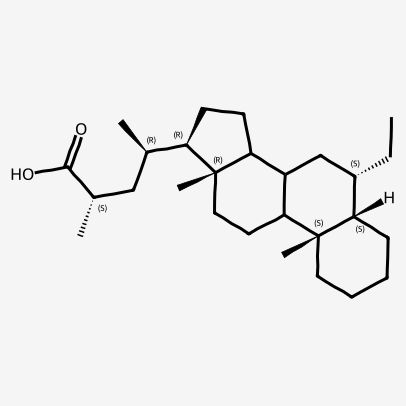 CC[C@H]1CC2C3CC[C@H]([C@H](C)C[C@H](C)C(=O)O)[C@@]3(C)CCC2[C@@]2(C)CCCC[C@@H]12